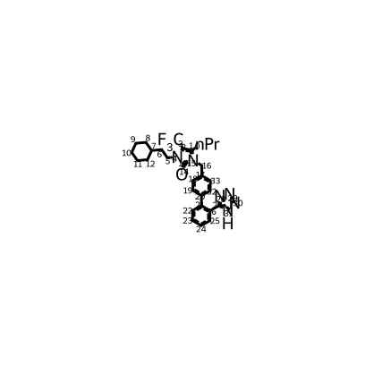 CCCc1c(C(F)(F)F)n(CCC2CCCCC2)c(=O)n1Cc1ccc(-c2ccccc2-c2nnn[nH]2)cc1